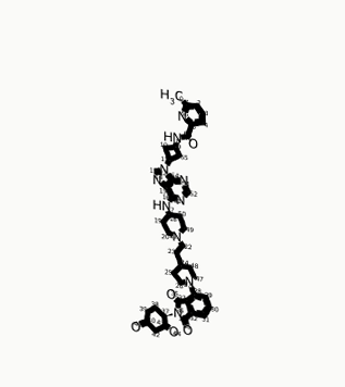 Cc1cccc(C(=O)NC2CC(n3cnc4c(NC5CCN(CCC6CCN(c7cccc8c7C(=O)N([C@H]7CCC(=O)CC7=O)C8=O)CC6)CC5)ncnc43)C2)n1